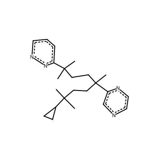 CC(C)(CCC(C)(CCC(C)(C)C1CC1)c1cnccn1)c1cccnn1